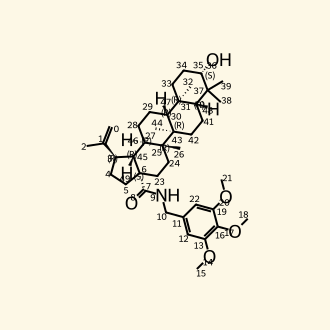 C=C(C)[C@@H]1CC[C@]2(C(=O)NCc3cc(OC)c(OC)c(OC)c3)CC[C@]3(C)[C@H](CC[C@@H]4[C@@]5(C)CC[C@H](O)C(C)(C)[C@@H]5CC[C@]43C)[C@@H]12